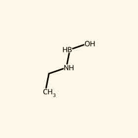 CCNBO